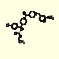 CCOC(=O)[C@H]1CC1(c1ccc(Cl)cc1)C1CCN(C(=O)C2CCN(Cc3ccnc(N)c3)CC2)CC1